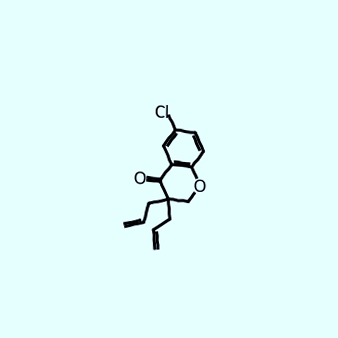 C=CCC1(CC=C)COc2ccc(Cl)cc2C1=O